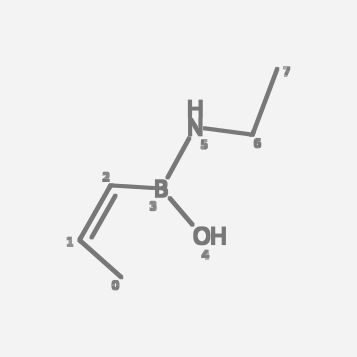 C/C=C\B(O)NCC